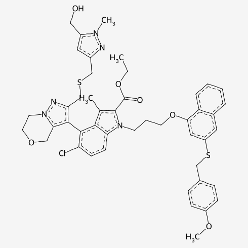 CCOC(=O)c1c(C)c2c(-c3c(CSCc4cc(CO)n(C)n4)nn4c3COCC4)c(Cl)ccc2n1CCCOc1cc(SCc2ccc(OC)cc2)cc2ccccc12